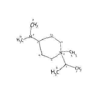 CC(C)[N+]1(C)CCC(N(C)C)CC1